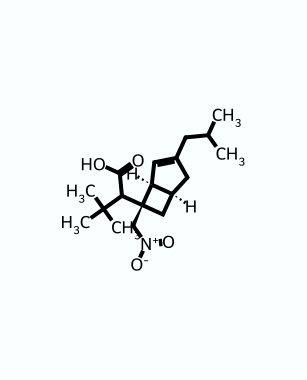 CC(C)CC1=C[C@H]2[C@@H](C1)C[C@]2(C[N+](=O)[O-])C(C(=O)O)C(C)(C)C